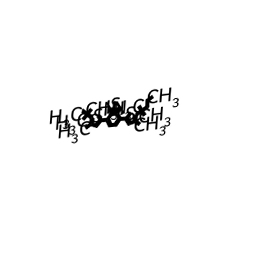 CCCC(C)(C)c1sc(-c2ccc(-c3cc(C)c(C(C)(C)CC)s3)c3nsnc23)cc1C